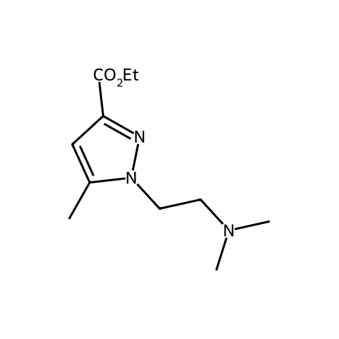 CCOC(=O)c1cc(C)n(CCN(C)C)n1